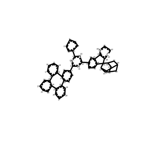 c1ccc(-c2nc(-c3ccc4c(c3)-c3ccccc3-c3ccccc3-c3ccccc3-4)nc(-c3ccc4c(c3)-c3ncccc3C43C4CC5CC(C4)CC3C5)n2)cc1